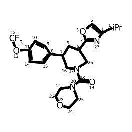 CC(C)c1coc(C2CC(c3ccc(OC(F)(F)F)cc3)CN(C(=O)N3CCOCC3)C2)n1